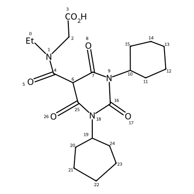 CCN(CC(=O)O)C(=O)C1C(=O)N(C2CCCCC2)C(=O)N(C2CCCCC2)C1=O